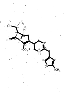 Cc1nc(CC2=NCC(C3=C(C(=O)O)N4C(=O)[C@H]([C@@H](C)O)[C@H]4C3)CN2)cs1